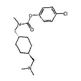 CN(C)C[C@H]1CC[C@H](CN(C)C(=O)Oc2ccc(Cl)cc2)CC1